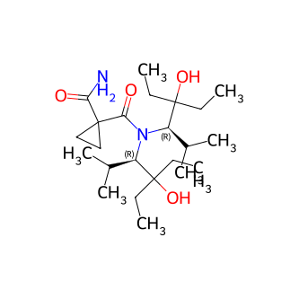 CCC(O)(CC)[C@@H](C(C)C)N(C(=O)C1(C(N)=O)CC1)[C@H](C(C)C)C(O)(CC)CC